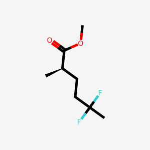 COC(=O)[C@H](C)CCC(C)(F)F